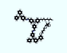 CCCCCCCCc1ccc(N(c2ccc(/C=C/c3ccc(N(c4ccccc4)c4ccccc4)cc3)cc2)c2ccc(/C=C/c3ccc(N(c4ccccc4)c4cccc(-c5cccc(OCCCCOCC6(C)COC6)c5)c4)cc3)cc2)cc1